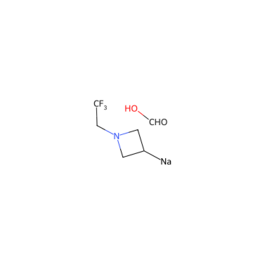 FC(F)(F)CN1C[CH]([Na])C1.O=CO